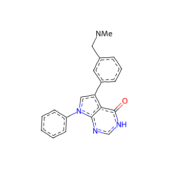 CNCc1cccc(-c2cn(-c3ccccc3)c3nc[nH]c(=O)c23)c1